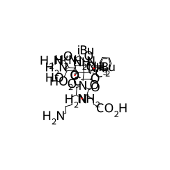 CCC(C)C(N)C(=O)C(C)(CC(=O)C(N)CO)C(C(=O)C(N)CC(N)=O)(C(=O)C(N)C(C)CC)C(C(=O)O)(C(=O)C(N)Cc1ccccc1)N(C(=O)C(N)CCCCN)C(=O)C(N)CCC(=O)O